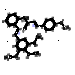 COc1ccc(/C=C/C(=O)Nc2ccccc2/C=C/c2cc(OC)c(OC)c(OC)c2)cc1